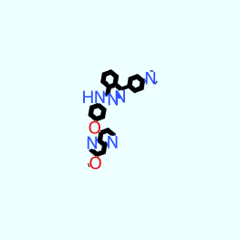 COc1cnc2c(Oc3ccc(Nc4nnc(-c5ccc(N(C)C)cc5)c5ccccc45)cc3)ccnc2c1